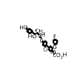 Cc1cc(OCCN[C@H](C)[C@@H](O)c2ccc(O)cc2)ccc1-c1ccc(OC(=O)O)c(Oc2ccc(F)cc2)c1